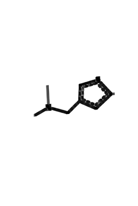 CN(C)Cc1c[c]sc1